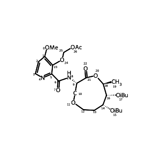 COc1ccnc(C(=O)N[C@H]2COCC[C@@H](OCC(C)C)[C@@H](OCC(C)C)[C@H](C)OC2=O)c1OCOC(C)=O